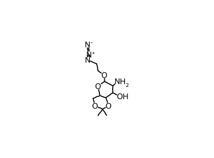 CC1(C)OCC2OC(OCCN=[N+]=[N-])C(N)C(O)C2O1